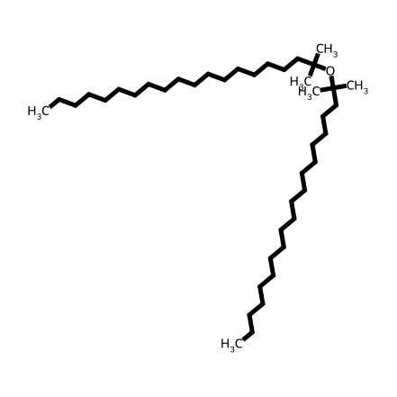 CCCCCCCCCCCCCCCCCCC(C)(C)OC(C)(C)CCCCCCCCCCCCCCCCCC